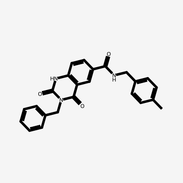 Cc1ccc(CNC(=O)c2ccc3[nH]c(=O)n(Cc4ccccc4)c(=O)c3c2)cc1